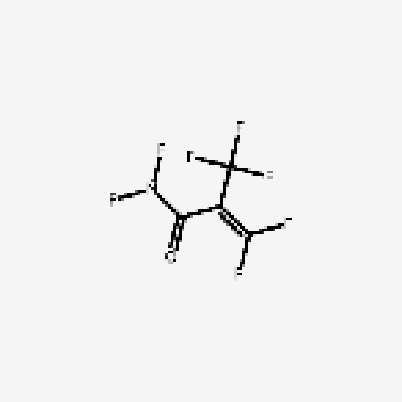 O=C(C(=C(F)F)C(F)(F)F)N(F)F